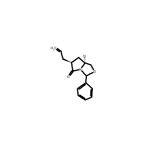 C=CC[C@H]1C[C@H]2COC(c3ccccc3)N2C1=O